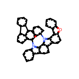 c1ccc(-n2c3c(ccc4oc5ccccc5c43)c3ccc4c5ccccc5n(-c5ccc6c7c(cccc57)-c5ccccc5-6)c4c32)cc1